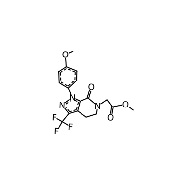 COC(=O)CN1CCc2c(C(F)(F)F)nn(-c3ccc(OC)cc3)c2C1=O